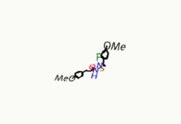 COc1ccc(CCC(=O)Nc2nc(-c3ccc(OC)cc3F)cs2)cc1